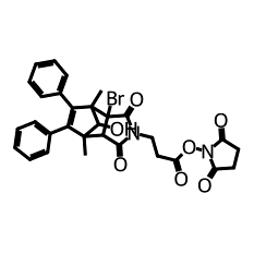 CC12C(c3ccccc3)=C(c3ccccc3)C(C)(C1O)C1(Br)C(=O)N(CCC(=O)ON3C(=O)CCC3=O)C(=O)C21